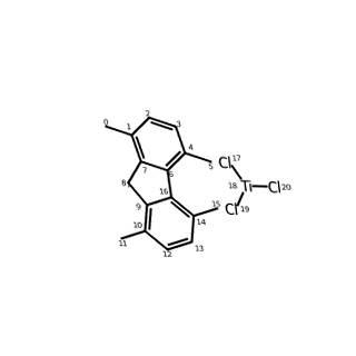 Cc1ccc(C)c2c1[CH]c1c(C)ccc(C)c1-2.[Cl][Ti]([Cl])[Cl]